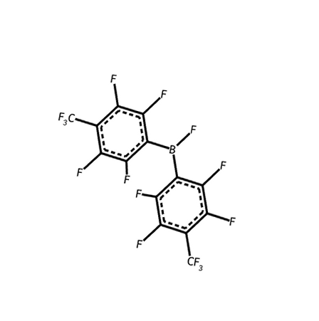 FB(c1c(F)c(F)c(C(F)(F)F)c(F)c1F)c1c(F)c(F)c(C(F)(F)F)c(F)c1F